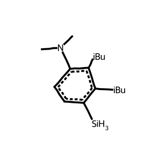 CCC(C)c1c([SiH3])ccc(N(C)C)c1C(C)CC